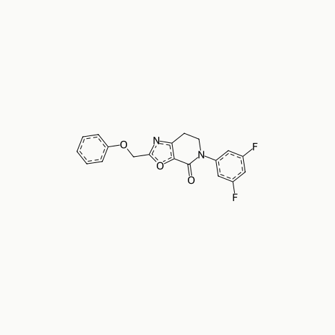 O=C1c2oc(COc3ccccc3)nc2CCN1c1cc(F)cc(F)c1